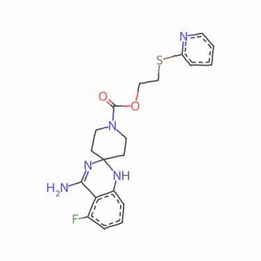 NC1=NC2(CCN(C(=O)OCCSc3ccccn3)CC2)Nc2cccc(F)c21